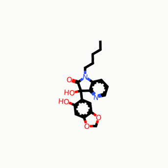 CCCCCN1C(=O)C(O)(c2cc3c(cc2O)OCO3)c2ncccc21